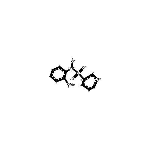 COc1ccccc1[NH+]([O-])S(=O)(=O)c1cccnc1